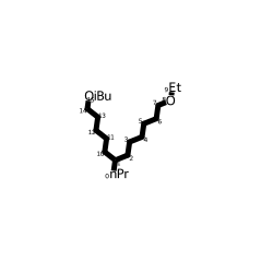 CCCC(CCCCCCOCC)CCCCCOCC(C)C